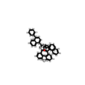 C1=CCCC(c2nc(-c3ccc(-c4ccccc4)c4ccccc34)nc(-c3cccc4oc5cccc(-c6ccccc6-c6ccccc6)c5c34)n2)=C1